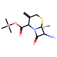 C=C1CS[C@H]2C(N)C(=O)N2C1C(=O)O[Si](C)(C)C